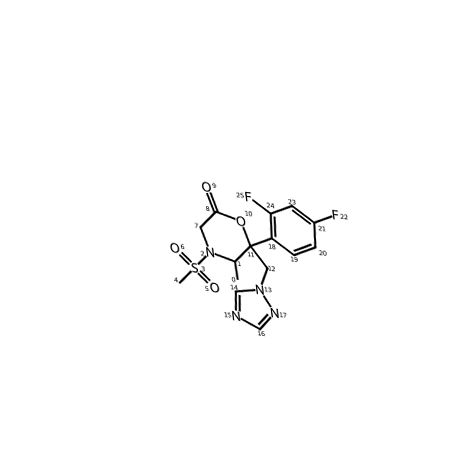 CC1N(S(C)(=O)=O)CC(=O)OC1(Cn1cncn1)c1ccc(F)cc1F